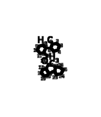 Cc1ccccc1-c1ccccc1COCc1ccccc1-c1ccccc1C